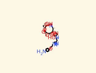 CC[C@H]1OC(=O)[C@H](C)[C@@H](OC)[C@H](C)[C@@H](O[C@@H]2O[C@H](C)C[C@H](N(C)CCc3cn(CCCOc4ccc(N)cc4)nn3)[C@H]2O)[C@](C)(O)C[C@@H](C)CN(C)[C@H](C)[C@@H](O)[C@]1(C)O